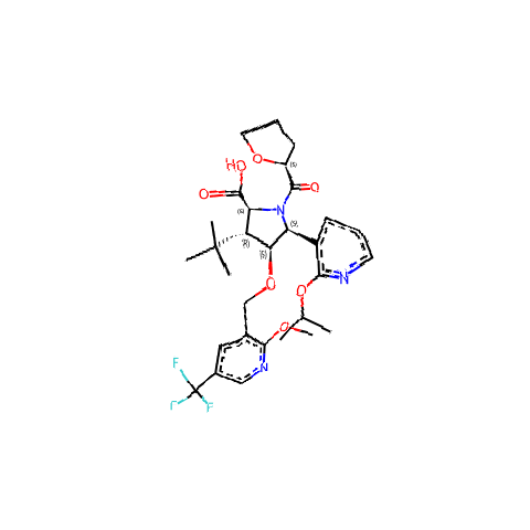 COc1ncc(C(F)(F)F)cc1CO[C@H]1[C@H](C(C)(C)C)[C@@H](C(=O)O)N(C(=O)[C@@H]2CCCO2)[C@H]1c1cccnc1OC(C)C